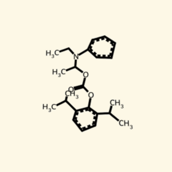 CCN(c1ccccc1)C(C)OC(=O)Oc1c(C(C)C)cccc1C(C)C